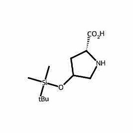 CC(C)(C)[Si](C)(C)OC1CN[C@@H](C(=O)O)C1